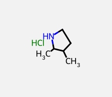 CC1CCNC1C.Cl